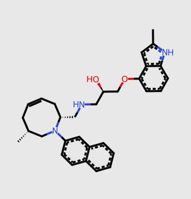 Cc1cc2c(OC[C@H](O)CNC[C@H]3C/C=C\C[C@@H](C)CN3c3ccc4ccccc4c3)cccc2[nH]1